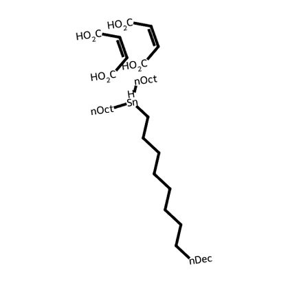 CCCCCCCCCCCCCCCCC[CH2][SnH]([CH2]CCCCCCC)[CH2]CCCCCCC.O=C(O)/C=C\C(=O)O.O=C(O)/C=C\C(=O)O